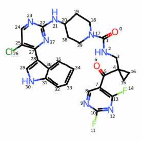 O=C(NCC1(C(=O)c2cnc(F)nc2F)CC1)N1CCC(Nc2ncc(Cl)c(-c3c[nH]c4ccccc34)n2)CC1